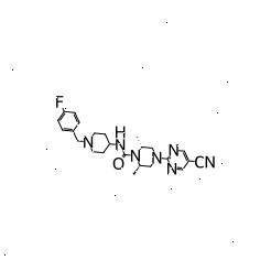 C[C@@H]1CN(c2ncc(C#N)cn2)C[C@@H](C)N1C(=O)NC1CCN(Cc2ccc(F)cc2)CC1